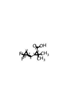 CC1(C)[C@H](C(=O)O)[C@@H]1/C=C1\CC1(F)F